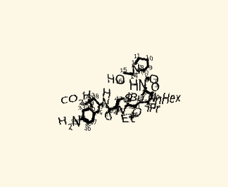 CCCCCCN(C(=O)C(NC(=O)[C@H]1CCCCN1CCO)C(C)CC)C(CC(OCC)c1nc(C(=O)NC(Cc2ccc(N)cc2)CC(C)(C)C(=O)O)cs1)C(C)C